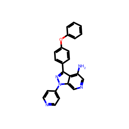 Nc1cncc2c1c(-c1ccc(Oc3ccccc3)cc1)nn2-c1ccncc1